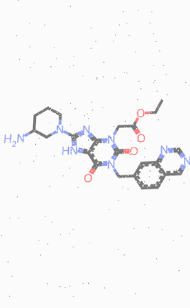 CCOC(=O)Cn1c(=O)n(Cc2ccc3cncnc3c2)c(=O)c2[nH]c(N3CCCC(N)C3)nc21